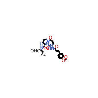 CC(=O)C[C@@H](C=O)NC(=O)[C@@H]1CCCN2C(=O)CCN(NC(=O)/C=C/c3ccc4c(c3)OCO4)C(=O)N12